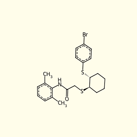 Cc1cccc(C)c1NC(=O)CS[C@@H]1CCCC[C@H]1Sc1ccc(Br)cc1